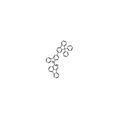 c1ccc(C2(c3ccccc3)c3ccccc3-c3ccc(-c4ccc5c(c4)c4ccccc4n5-c4ncc5c6c(cccc46)-c4ccccc4-5)cc32)cc1